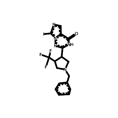 O=c1[nH]c(C2CN(Cc3ccccc3)CC2C(F)(F)F)nn2c(I)ncc12